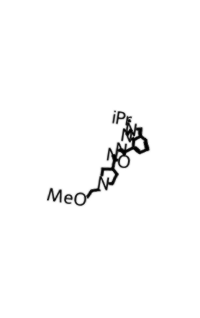 COCCCN1CCC(c2nnc(-c3cccc4cn(C(C)C)nc34)o2)CC1